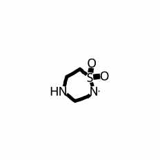 O=S1(=O)CCNCC[N]1